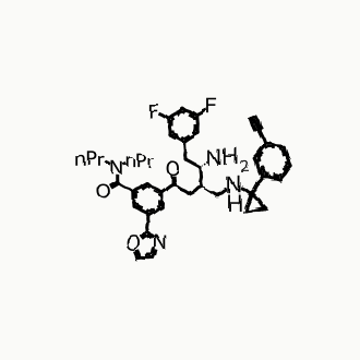 C#Cc1cccc(C2(NC[C@@H](CC(=O)c3cc(C(=O)N(CCC)CCC)cc(-c4ncco4)c3)[C@@H](N)Cc3cc(F)cc(F)c3)CC2)c1